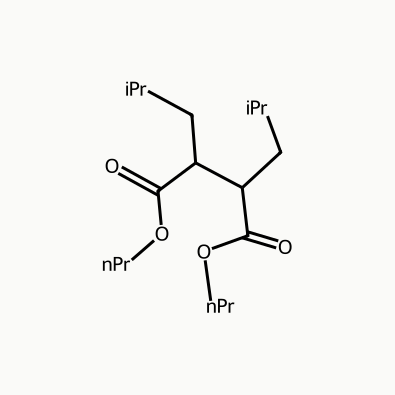 CCCOC(=O)C(CC(C)C)C(CC(C)C)C(=O)OCCC